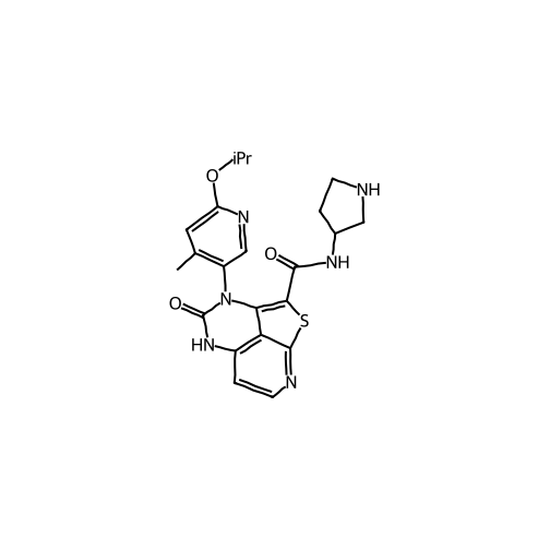 Cc1cc(OC(C)C)ncc1N1C(=O)Nc2ccnc3sc(C(=O)NC4CCNC4)c1c23